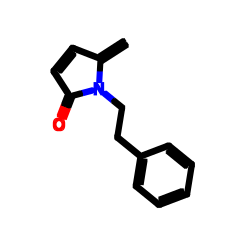 C=C1C=CC(=O)N1CCc1ccccc1